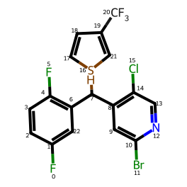 Fc1ccc(F)c(C(c2cc(Br)ncc2Cl)[SH]2C=CC(C(F)(F)F)=C2)c1